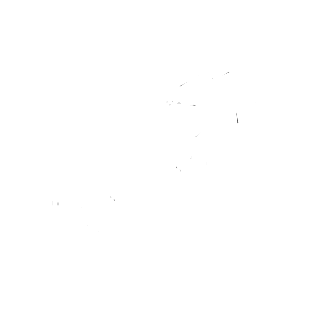 CCCC1CN(CCC2CN(C(=O)O[C@@H]3CC[C@]4(CO4)C([C@@]4(C)O[C@@H]4CC=C(C)C)[C@@H]3OC)C2)CC(C)O1